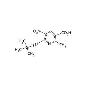 Cc1nc(C#C[Si](C)(C)C)c([N+](=O)[O-])cc1C(=O)O